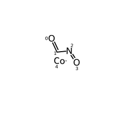 O=CN=O.[Co]